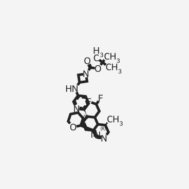 C[C@H]1CN=C2N=NC(C3CCCCO3)C23C=C[C@H](c2ccc(NC4CN(C(=O)OC(C)(C)C)C4)cn2)C(CC(F)F)C13